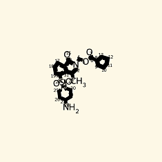 Cc1cn(COC(=O)c2ccccc2)c(=O)c2cccc(S(=O)(=O)N3CCC(N)CC3)c12